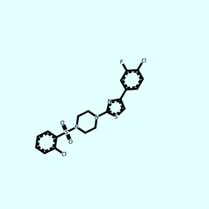 O=S(=O)(c1ccccc1Cl)N1CCN(c2nc(-c3ccc(Cl)c(F)c3)cs2)CC1